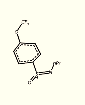 CCC/N=[SH](=O)\c1ccc(OC(F)(F)F)cc1